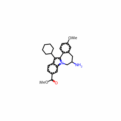 COC(=O)c1ccc2c(C3CCCCC3)c3n(c2c1)CC(N)Cc1cc(OC)ccc1-3